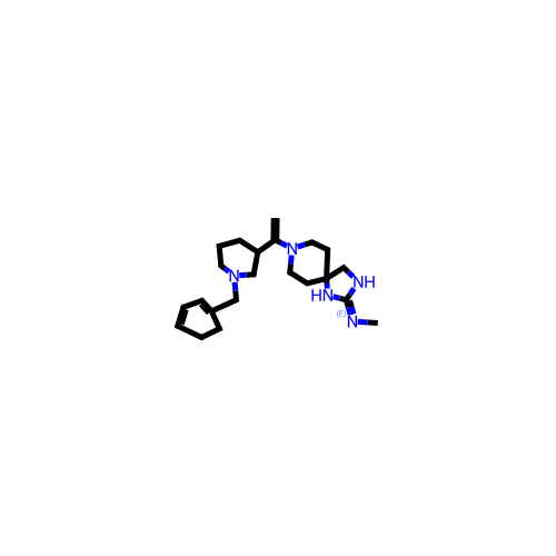 C=C(C1CCCN(CC2=CC=CCC2)C1)N1CCC2(CC1)CN/C(=N\C)N2